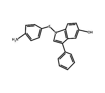 Nc1ccc(Sn2cc(-c3ccccc3)c3cc(O)ccc32)cc1